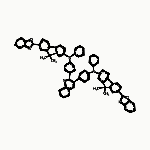 CC1(C)c2cc(-c3nc4ccccc4o3)ccc2-c2ccc(N(c3ccccc3)c3ccc(-c4nc5ccccc5nc4-c4ccc(N(c5ccccc5)c5ccc6c(c5)C(C)(C)c5cc(-c7nc8ccccc8o7)ccc5-6)cc4)cc3)cc21